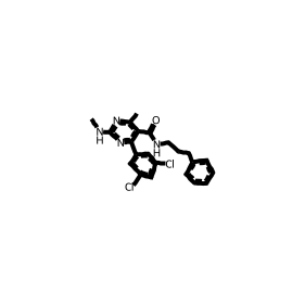 CNc1nc(C)c(C(=O)NCCCc2ccccc2)c(-c2cc(Cl)cc(Cl)c2)n1